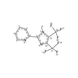 Cn1c(-c2ccccn2)nc(C(F)(F)F)c1C(F)(F)F